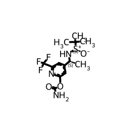 C[C@H](N[S@+]([O-])C(C)(C)C)c1cc(OC(N)=O)nc(C(F)(F)F)c1